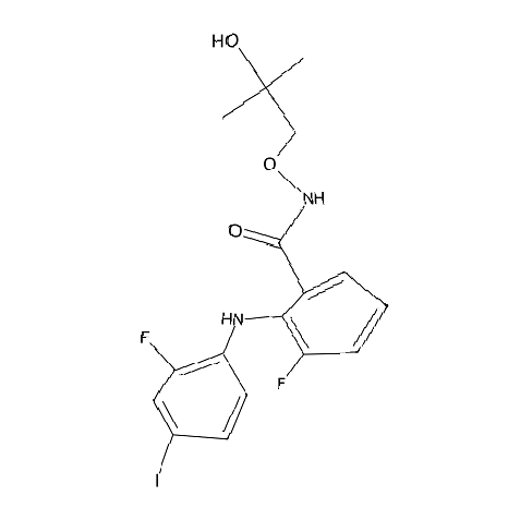 CC(C)(O)CONC(=O)c1cccc(F)c1Nc1ccc(I)cc1F